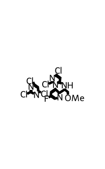 COCC(Nc1cc(Cl)nc(Cl)n1)c1ccc(F)cn1.Clc1cc(Cl)nc(Cl)n1